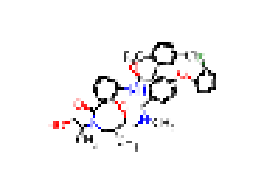 CC(CO)N1C[C@@H](C)[C@@H](CN(C)Cc2ccc(Oc3ccccc3F)cc2)Oc2c(NC(=O)Cc3cc(C(F)(F)F)ccc3C(F)(F)F)cccc2C1=O